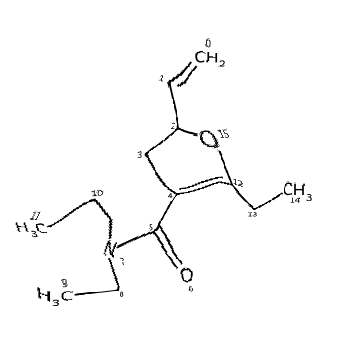 C=CC1CC(C(=O)N(CC)CC)=C(CC)O1